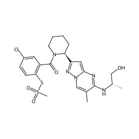 Cc1cn2nc([C@@H]3CCCCN3C(=O)c3cc(Cl)ccc3SS(C)(=O)=O)cc2nc1N[C@@H](C)CO